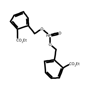 CCOC(=O)c1ccccc1CO[PH](=O)OCc1ccccc1C(=O)OCC